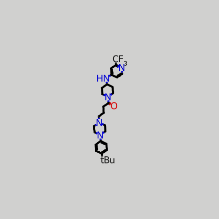 CC(C)(C)c1ccc(N2CCN(CCCC(=O)N3CCC(Nc4ccnc(C(F)(F)F)c4)CC3)CC2)cc1